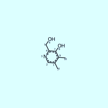 [CH2]c1cnc(CO)c(O)c1C